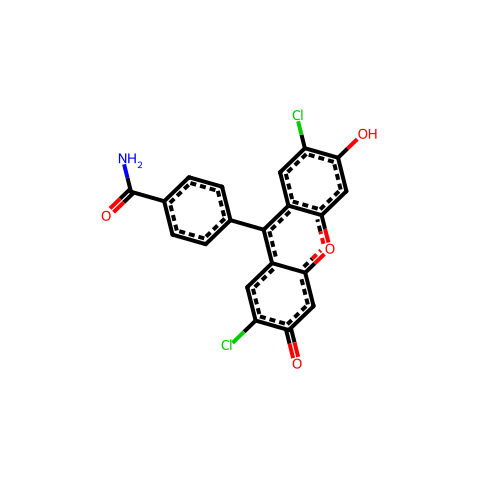 NC(=O)c1ccc(-c2c3cc(Cl)c(=O)cc-3oc3cc(O)c(Cl)cc23)cc1